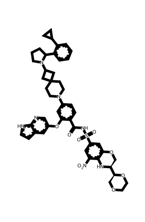 O=C(NS(=O)(=O)c1cc2c(c([N+](=O)[O-])c1)N[C@H]([C@@H]1COCCO1)CO2)c1ccc(N2CCC3(CC2)CC(N2CCCC2c2ccccc2C2CC2)C3)cc1Oc1cnc2[nH]ccc2c1